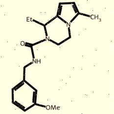 CCC1c2ccc(C)n2CCN1C(=O)NCc1cccc(OC)c1